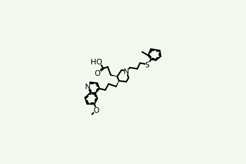 COc1ccc2nccc(CCC[C@@H]3CCN(CCCSc4ccccc4C)C[C@@H]3CCC(=O)O)c2c1